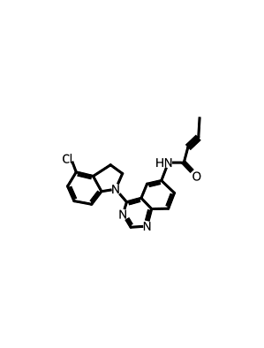 CC#CC(=O)Nc1ccc2ncnc(N3CCc4c(Cl)cccc43)c2c1